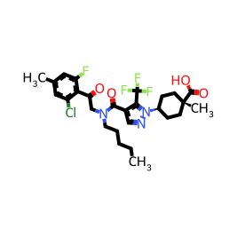 CCCCCN(CC(=O)c1c(F)cc(C)cc1Cl)C(=O)c1cnn([C@H]2CC[C@](C)(C(=O)O)CC2)c1C(F)(F)F